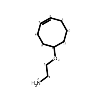 NCCOC1CC/C=C\CCC1